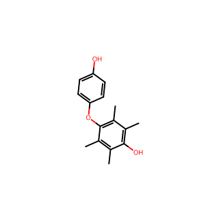 Cc1c(C)c(Oc2ccc(O)cc2)c(C)c(C)c1O